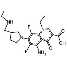 CCNCC1CCN(c2c(F)c(N)c3c(=O)c(C(=O)O)cn(CC)c3c2F)C1